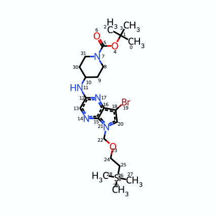 CC(C)(C)OC(=O)N1CCC(Nc2cnc3c(n2)c(Br)cn3COCC[Si](C)(C)C)CC1